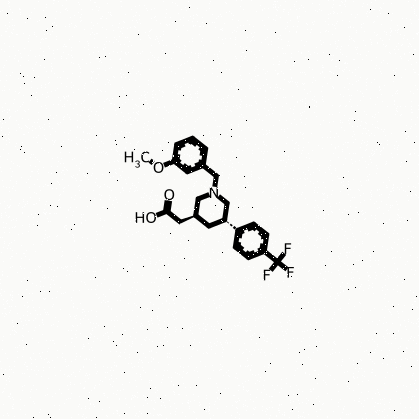 COc1cccc(CN2C[C@H](CC(=O)O)C[C@@H](c3ccc(C(F)(F)F)cc3)C2)c1